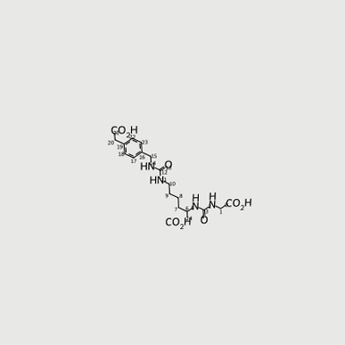 O=C(O)CNC(=O)NC(CCCCNC(=O)NCc1ccc(CC(=O)O)cc1)C(=O)O